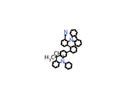 CC1(C)c2ccccc2N(c2ccccc2)c2cc(-c3ccccc3-c3cccc(C#N)c3-n3c4ccccc4c4ccccc43)ccc21